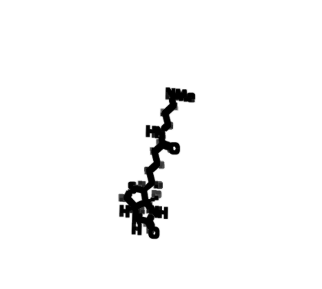 CNCCCNC(=O)CCCC[C@@H]1SC[C@@H]2NC(=O)N[C@@]21C